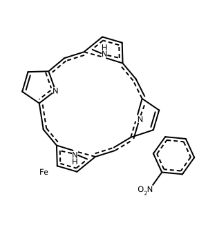 C1=Cc2cc3ccc(cc4nc(cc5ccc(cc1n2)[nH]5)C=C4)[nH]3.O=[N+]([O-])c1ccccc1.[Fe]